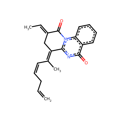 C=CC/C=C\C(C)=C1/C/C(=C\C)C(=O)n2c1nc(=O)c1ccccc12